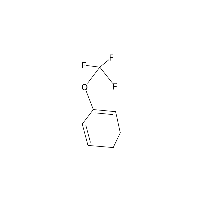 FC(F)(F)OC1=CCCC=C1